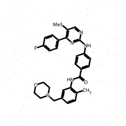 CSc1cnc(Nc2ccc(C(=O)Nc3cc(CN4CCOCC4)ccc3C)cc2)nc1-c1ccc(F)cc1